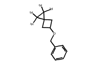 [2H]C1([2H])C([2H])([2H])C12CC(OCc1ccccc1)C2